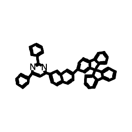 c1ccc(-c2cc(-c3ccc4ccc(-c5ccc6c(c5)C5(c7ccccc7-c7ccccc75)c5ccccc5-6)cc4c3)nc(-c3ccccc3)n2)cc1